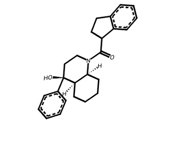 O=C(C1CCc2ccccc21)N1CC[C@@](O)(c2ccccc2)[C@@H]2CCCC[C@@H]21